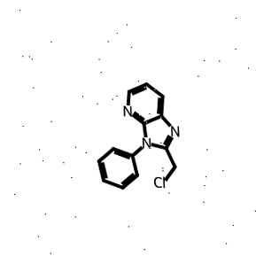 ClCc1nc2cccnc2n1-c1ccccc1